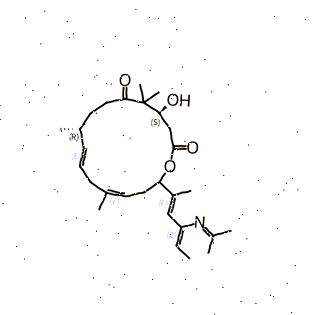 C/C=C(/C=C(\C)C1C/C=C(/C)C/C=C/[C@H](C)CCC(=O)C(C)(C)[C@@H](O)CC(=O)O1)N=C(C)C